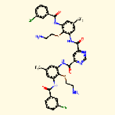 NCCSc1c(NC(=O)c2cccc(Br)c2)cc(C(F)(F)F)cc1NC(=O)c1cc(C(=O)Nc2cc(C(F)(F)F)cc(NC(=O)c3cccc(Br)c3)c2SCCN)ncn1